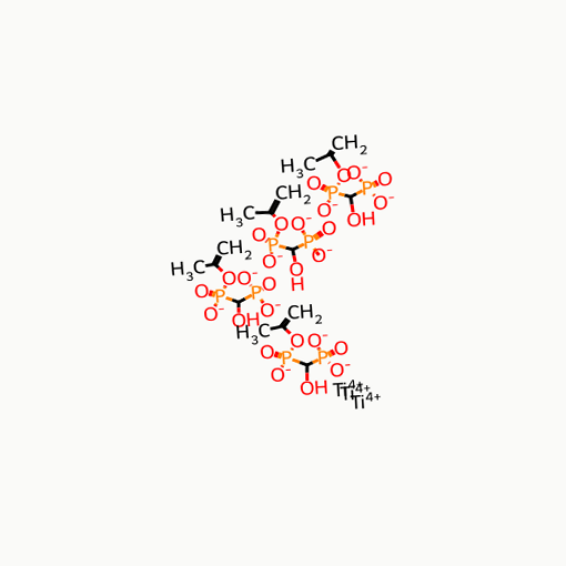 C=C(C)OP(=O)([O-])C(O)P(=O)([O-])[O-].C=C(C)OP(=O)([O-])C(O)P(=O)([O-])[O-].C=C(C)OP(=O)([O-])C(O)P(=O)([O-])[O-].C=C(C)OP(=O)([O-])C(O)P(=O)([O-])[O-].[Ti+4].[Ti+4].[Ti+4]